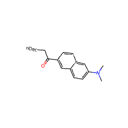 CCCCCCCCCCCC(=O)c1ccc2cc(N(C)C)ccc2c1